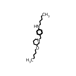 CCCCCNc1ccc(CN2CCCC(OCCCCC)C2)cc1